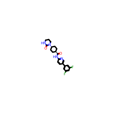 O=C1NCCCN1[C@H]1CC[C@H](C(=O)Nc2ccc(-c3cc(F)cc(F)c3)cn2)CC1